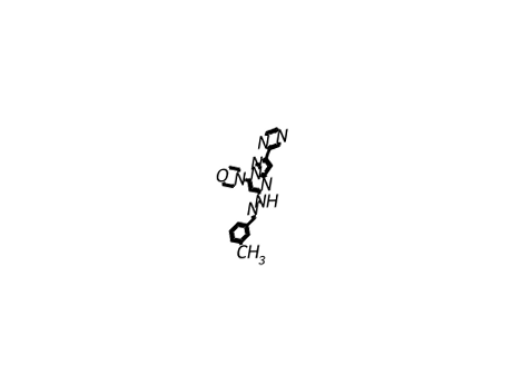 Cc1cccc(C=NNc2cc(N3CCOCC3)n3nc(-c4cnccn4)cc3n2)c1